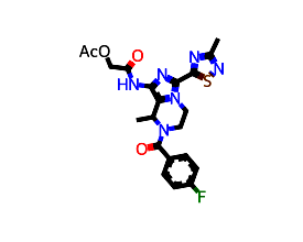 CC(=O)OCC(=O)Nc1nc(-c2nc(C)ns2)n2c1C(C)N(C(=O)c1ccc(F)cc1)CC2